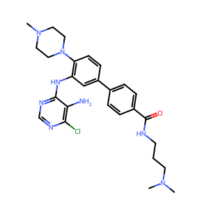 CN(C)CCCNC(=O)c1ccc(-c2ccc(N3CCN(C)CC3)c(Nc3ncnc(Cl)c3N)c2)cc1